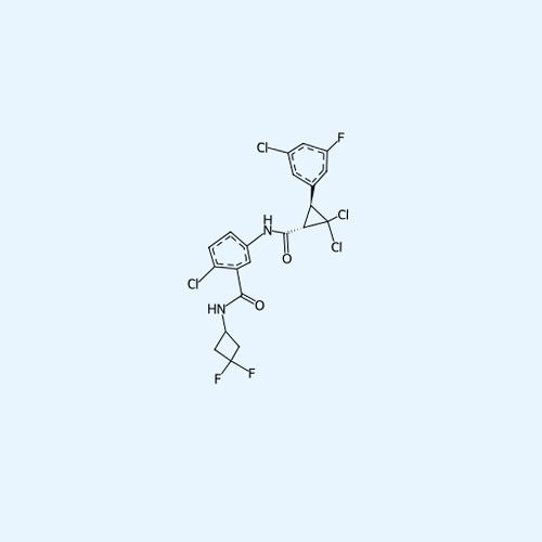 O=C(NC1CC(F)(F)C1)c1cc(NC(=O)[C@@H]2[C@@H](c3cc(F)cc(Cl)c3)C2(Cl)Cl)ccc1Cl